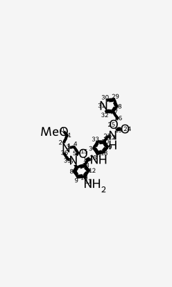 COCCN1CCN(c2ccc(N)cc2C(=O)Nc2ccc(CNC(=O)OCc3cccnc3)cc2)CC1